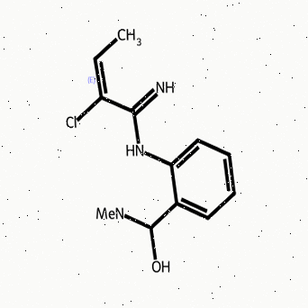 C/C=C(/Cl)C(=N)Nc1ccccc1C(O)NC